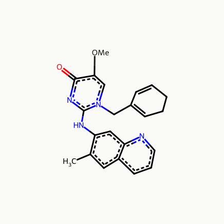 COc1cn(CC2=CCCC=C2)c(Nc2cc3ncccc3cc2C)nc1=O